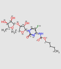 CCCCCOC(=O)Nc1nc(=O)n(C2O[C@H](C)[C@@H](O[C@@H]3O[C@H](C)[C@@H](O)[C@H]3O)[C@H]2O)cc1F